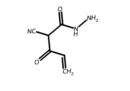 C=CC(=O)C(C#N)C(=O)NN